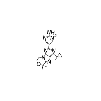 CC1(c2nc(-c3cnc(N)nc3)nc3c2nc2n3CCOC2(C)C)CC1